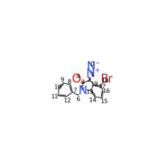 [N-]=[N+]=C1C(=O)N(Cc2ccccc2)c2cccc(Br)c21